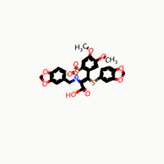 COc1cc2c(cc1OC)S(=O)(=O)N(Cc1ccc3c(c1)OCO3)C(C(=O)O)=C2Sc1ccc2c(c1)OCO2